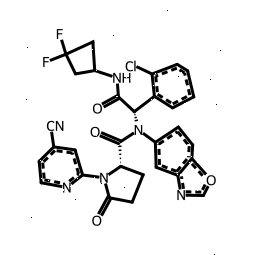 N#Cc1ccnc(N2C(=O)CC[C@H]2C(=O)N(c2ccc3ocnc3c2)[C@H](C(=O)NC2CC(F)(F)C2)c2ccccc2Cl)c1